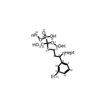 CCCCCCCCCCOC(SCCC(CCCCCCC)c1cccc(CC)c1)(C(=O)O)P(=O)(O)OCCC